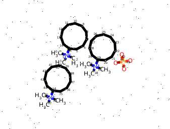 C[N+](C)(C)C1CCCCCCCCCC1.C[N+](C)(C)C1CCCCCCCCCC1.C[N+](C)(C)C1CCCCCCCCCC1.O=P([O-])([O-])[O-]